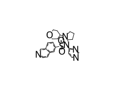 O=S(=O)(c1ccc2cnccc2c1)N(c1ccncn1)C1CCCN1C1CCOCC1